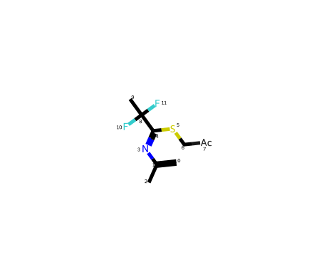 C=C(C)/N=C(\SCC(C)=O)C(C)(F)F